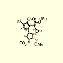 COC[C@H]1C[C@H](n2nc(Br)c(C#N)c2N(C(=O)OC(C)(C)C)C2CC2)CN1C(=O)O